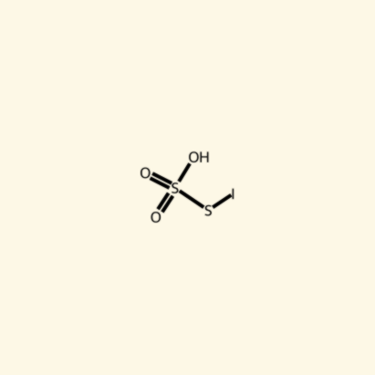 O=S(=O)(O)SI